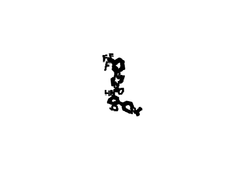 COc1ccc(NC(=O)N2CCN(c3cccc(C(F)(F)F)c3)CC2)cc1C1CCN(C(C)C)CC1